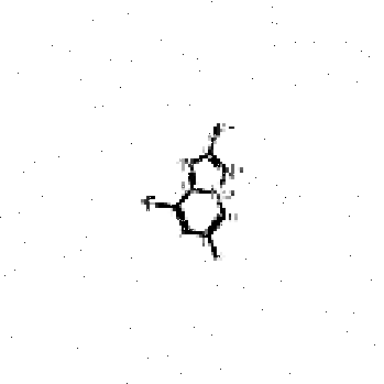 Cc1cc(F)c2nc(C(C)C)nn2c1